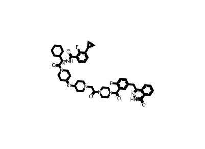 O=C(N[C@@H](C(=O)N1CCC(OC2CCN(CC(=O)N3CCN(C(=O)c4cc(Cc5n[nH]c(=O)c6ccccc56)ccc4F)CC3)CC2)CC1)C1CCCCC1)c1cccc(C2CC2)c1F